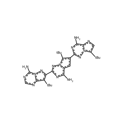 CC(C)(C)c1c(-c2nc(N)c3cc(-c4nc(N)c5ncc(C(C)(C)C)n5n4)c(C(C)(C)C)n3n2)nn2c(N)ncnc12